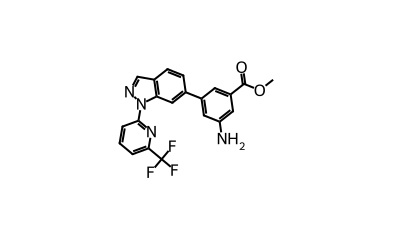 COC(=O)c1cc(N)cc(-c2ccc3cnn(-c4cccc(C(F)(F)F)n4)c3c2)c1